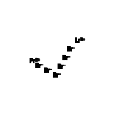 [Br-].[Br-].[Br-].[Br-].[Br-].[Br-].[Lr+3].[Pr+3]